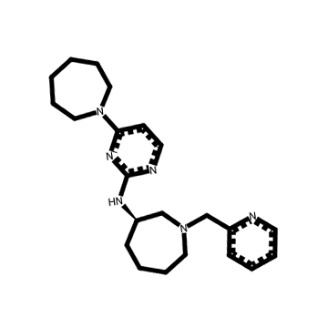 c1ccc(CN2CCCC[C@@H](Nc3nccc(N4CCCCCC4)n3)C2)nc1